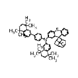 CC1(C)CCC(C)(C)c2cc(-c3ccc(N(c4ccc5c(c4)C(C)(C)CCC5(C)C)c4ccc5c(c4)C4(c6ccccc6S5)C5CC6CC7CC4C75C6)cc3)ccc21